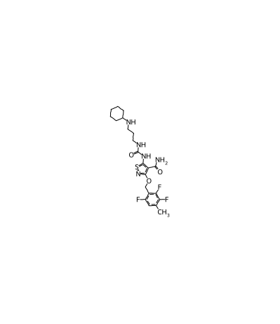 Cc1cc(F)c(COc2nsc(NC(=O)NCCCNC3CCCCC3)c2C(N)=O)c(F)c1F